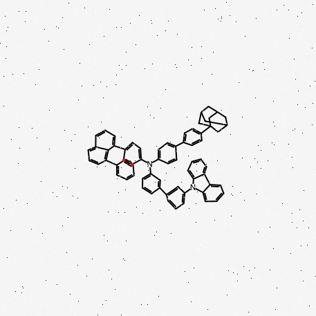 c1ccc(-c2cccc3cccc(-c4ccc(N(c5ccc(-c6ccc(C78CC9CC(CC(C9)C7)C8)cc6)cc5)c5cccc(-c6cccc(-n7c8ccccc8c8ccccc87)c6)c5)cc4)c23)cc1